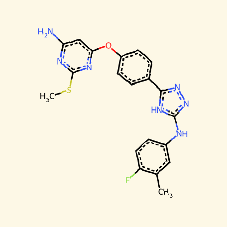 CSc1nc(N)cc(Oc2ccc(-c3nnc(Nc4ccc(F)c(C)c4)[nH]3)cc2)n1